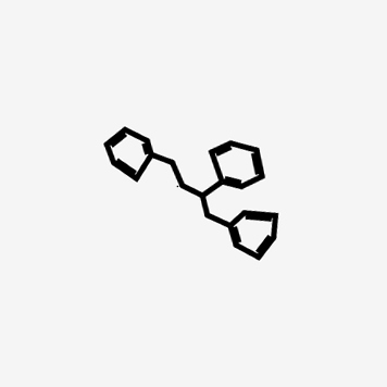 [CH](Cc1ccccc1)C(Cc1ccccc1)c1ccccc1